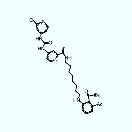 C=C(NCCCCCCCCNc1cccc(C(C)=O)c1C(=O)C(C)CC)c1cc(NC(=O)Nc2ccnc(Cl)c2)ccn1